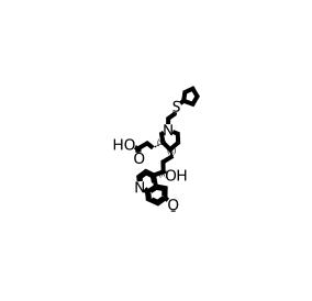 COc1ccc2nccc([C@H](O)CC[C@@H]3CCN(CCSC4CCCC4)C[C@H]3CCC(=O)O)c2c1